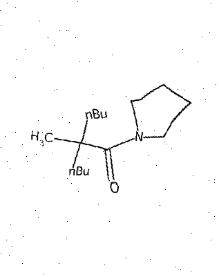 CCCCC(C)(CCCC)C(=O)N1CCCC1